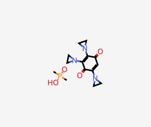 CP(C)(=O)O.O=C1C=C(N2CC2)C(=O)C(N2CC2)=C1N1CC1